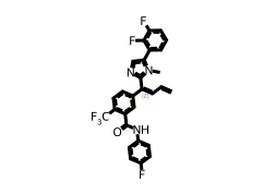 C=C/C=C(/c1ccc(C(F)(F)F)c(C(=O)Nc2ccc(F)cc2)c1)c1ncc(-c2cccc(F)c2F)n1C